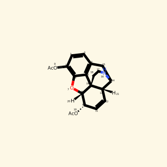 CC(=O)Oc1ccc2c3c1O[C@H]1[C@@H](OC(C)=O)C=C[C@H]4C(C2)NCC[C@@]341